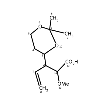 C=CC(C1CCOC(C)(C)O1)C(OC)C(=O)O